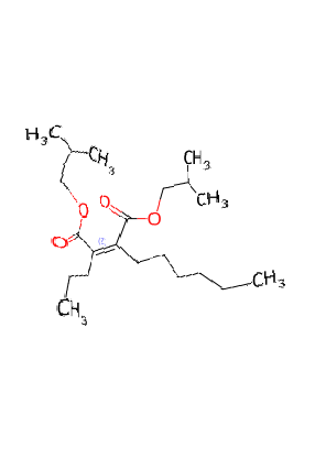 CCCCCC/C(C(=O)OCC(C)C)=C(\CCC)C(=O)OCC(C)C